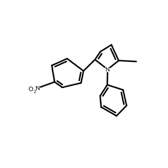 Cc1ccc(-c2ccc([N+](=O)[O-])cc2)n1-c1ccccc1